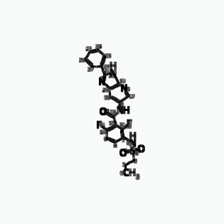 CCCS(=O)(=O)Nc1ccc(F)c(C(=O)Nc2cnc3[nH]c(-c4ccccc4)nc3c2)c1F